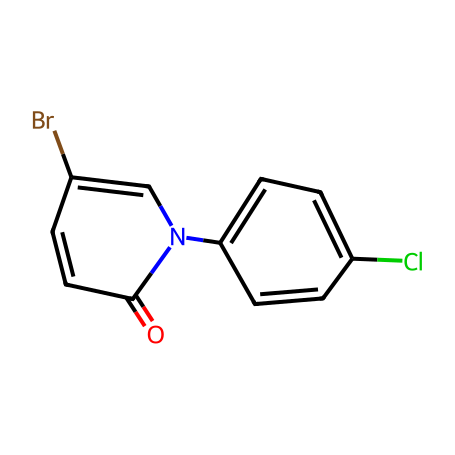 O=c1ccc(Br)cn1-c1ccc(Cl)cc1